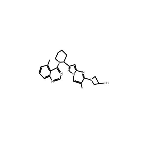 Cc1cn2nc(C3CCCCN3c3ncnc4cccc(C)c34)cc2nc1N1CC(O)C1